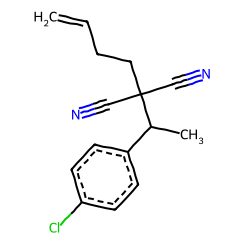 C=CCCC(C#N)(C#N)C(C)c1ccc(Cl)cc1